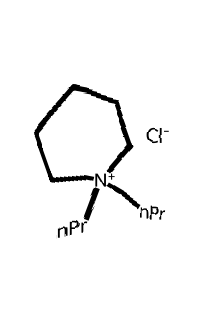 CCC[N+]1(CCC)CCCCC1.[Cl-]